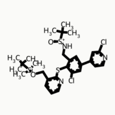 CC(C)(C)[S+]([O-])NCc1cc(-c2ccnc(Cl)c2)cc(Cl)c1Sc1ncccc1CO[Si](C)(C)C(C)(C)C